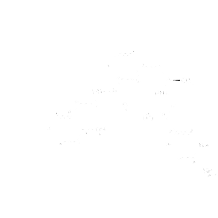 C[C@H](Cc1cccc(C(=O)NCCc2ccccc2O)c1)NC[C@@H](O)c1ccc(N)nc1